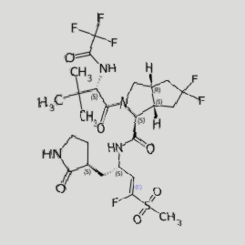 CC(C)(C)[C@H](NC(=O)C(F)(F)F)C(=O)N1C[C@@H]2CC(F)(F)C[C@@H]2[C@H]1C(=O)N[C@H](/C=C(\F)S(C)(=O)=O)C[C@@H]1CCNC1=O